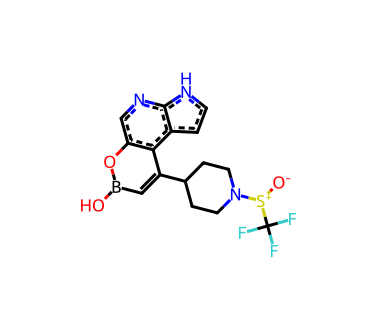 [O-][S+](N1CCC(C2=CB(O)Oc3cnc4[nH]ccc4c32)CC1)C(F)(F)F